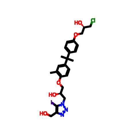 Cc1cc(C(C)(C)c2ccc(OC[C@H](O)CCl)cc2)ccc1OC[C@H](O)Cn1nnc(CO)c1I